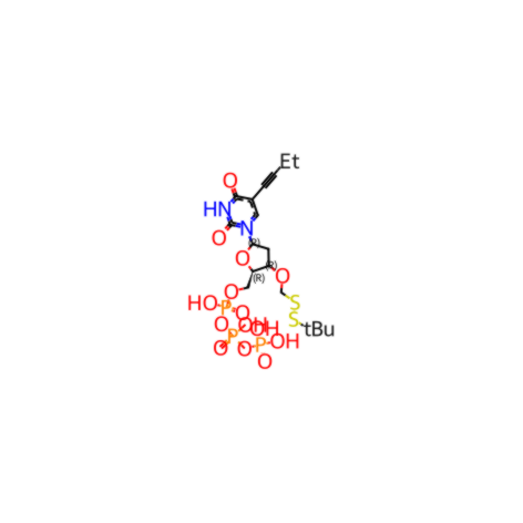 CCC#Cc1cn([C@H]2C[C@@H](OCSSC(C)(C)C)[C@@H](COP(=O)(O)OP(=O)(O)OP(=O)(O)O)O2)c(=O)[nH]c1=O